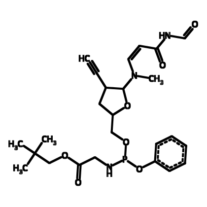 C#CC1CC(COP(NCC(=O)OCC(C)(C)C)Oc2ccccc2)OC1N(C)/C=C\C(=O)NC=O